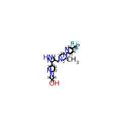 C[C@@H]1CN(Cc2c[nH]nc2-c2ccc(N3CC(O)C3)nc2)CCN1c1ccc(C(F)(F)F)cn1